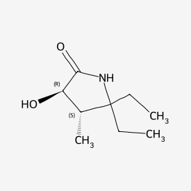 CCC1(CC)NC(=O)[C@H](O)[C@H]1C